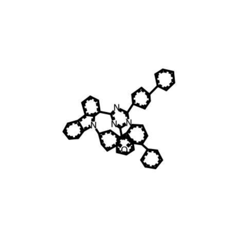 c1ccc(-c2ccc(-c3nc(-c4ccccc4)nc(-c4cccc5c6ccccc6n(-c6ccc7oc8c(-c9ccccc9)cccc8c7c6)c45)n3)cc2)cc1